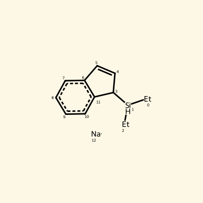 CC[SiH](CC)C1C=Cc2ccccc21.[Na]